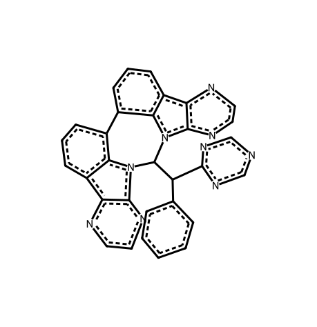 c1ccc(C(c2ncncn2)C2n3c4nccnc4c4cccc(c43)-c3cccc4c5nccnc5n2c34)cc1